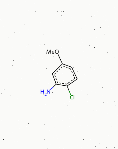 COc1[c]cc(Cl)c(N)c1